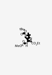 CCOC(=O)n1nc2c(c1NC(=O)COC)CN(C(=O)OC(C)(C)C)C2(C)C